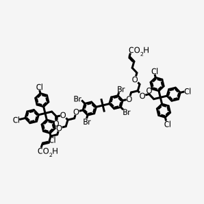 CC(C)(c1cc(Br)c(OCC(COCCC=CC(=O)O)OC(=O)CC(c2ccc(Cl)cc2)(c2ccc(Cl)cc2)c2ccc(Cl)cc2)c(Br)c1)c1cc(Br)c(OCC(COCCC=CC(=O)O)OC(=O)CC(c2ccc(Cl)cc2)(c2ccc(Cl)cc2)c2ccc(Cl)cc2)c(Br)c1